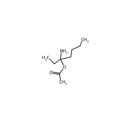 CCCCC(N)(CC)OC(C)=O